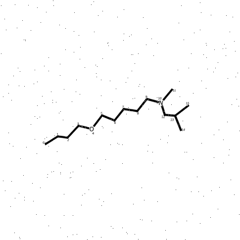 CCCCOCCCCCN(C)CC(C)C